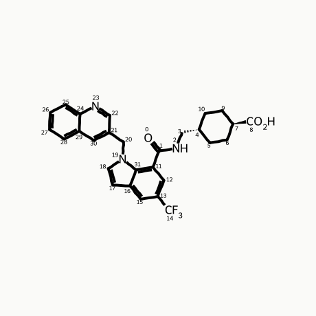 O=C(NC[C@H]1CC[C@H](C(=O)O)CC1)c1cc(C(F)(F)F)cc2ccn(Cc3cnc4ccccc4c3)c12